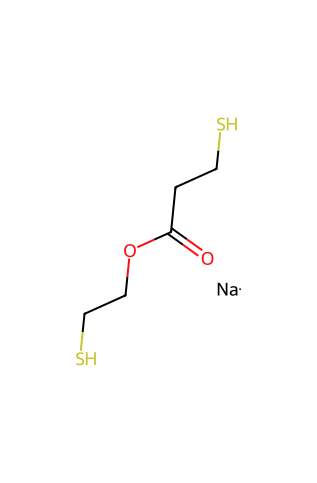 O=C(CCS)OCCS.[Na]